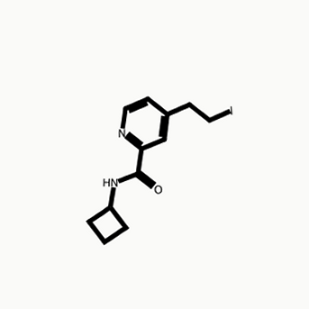 O=C(NC1CCC1)c1cc(CCI)ccn1